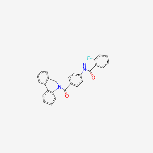 O=C(Nc1ccc(C(=O)N2Cc3ccccc3-c3ccccc32)cc1)c1ccccc1F